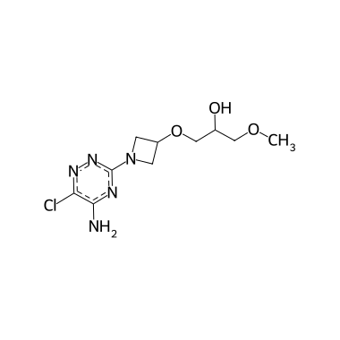 COCC(O)COC1CN(c2nnc(Cl)c(N)n2)C1